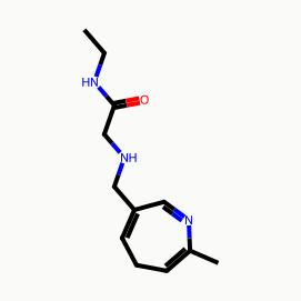 CCNC(=O)CNCC1=CCC=C(C)N=C1